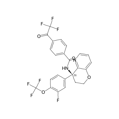 O=C(N[C@]1(c2ccc(OC(F)(F)F)c(F)c2)CCOc2cccnc21)c1ccc(C(=O)C(F)(F)F)cc1